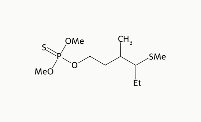 CCC(SC)C(C)CCOP(=S)(OC)OC